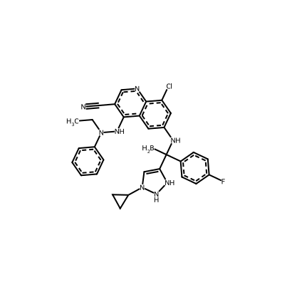 BC(Nc1cc(Cl)c2ncc(C#N)c(NN(CC)c3ccccc3)c2c1)(C1=CN(C2CC2)NN1)c1ccc(F)cc1